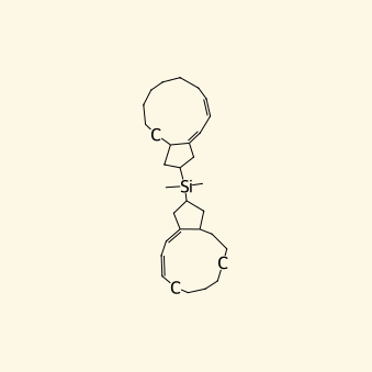 C[Si](C)(C1CC2=CC=CCCCCCCCC2C1)C1CC2=CC=CCCCCCCCC2C1